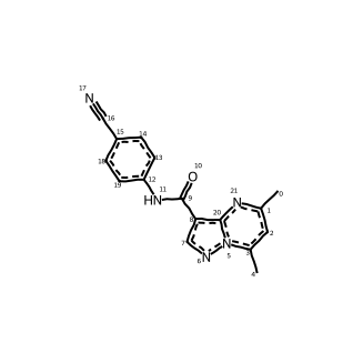 Cc1cc(C)n2ncc(C(=O)Nc3ccc(C#N)cc3)c2n1